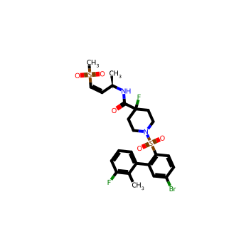 Cc1c(F)cccc1-c1cc(Br)ccc1S(=O)(=O)N1CCC(F)(C(=O)N[C@H](C)/C=C\S(C)(=O)=O)CC1